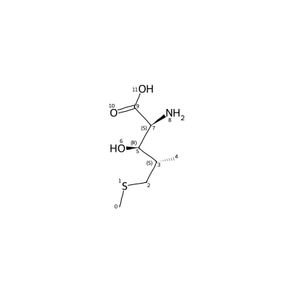 CSC[C@@H](C)[C@@H](O)[C@H](N)C(=O)O